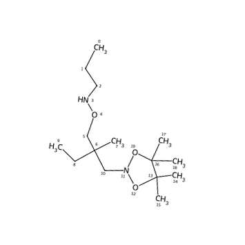 CCCNOCC(C)(CC)CN1OC(C)(C)C(C)(C)O1